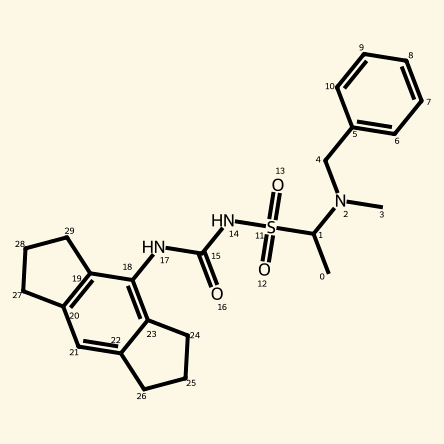 CC(N(C)Cc1ccccc1)S(=O)(=O)NC(=O)Nc1c2c(cc3c1CCC3)CCC2